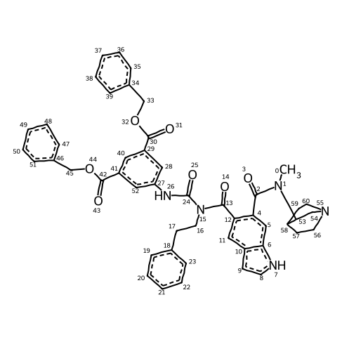 CN(C(=O)c1cc2[nH]ccc2cc1C(=O)N(CCc1ccccc1)C(=O)Nc1cc(C(=O)OCc2ccccc2)cc(C(=O)OCc2ccccc2)c1)C1CN2CCC1CC2